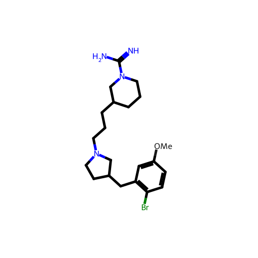 COc1ccc(Br)c(CC2CCN(CCCC3CCCN(C(=N)N)C3)C2)c1